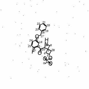 CS(=O)(=O)OC1CC2(CNC2C(=O)c2cc(OCc3ccccc3)ccc2F)C1